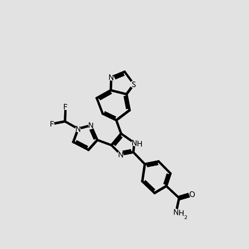 NC(=O)c1ccc(-c2nc(-c3ccn(C(F)F)n3)c(-c3ccc4ncsc4c3)[nH]2)cc1